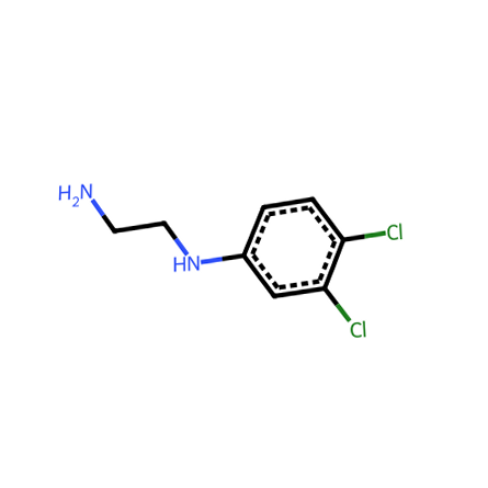 NCCNc1ccc(Cl)c(Cl)c1